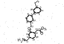 CCc1cccc(-c2cccc(COc3cc(CN)ccc3CC(=O)OC)c2)c1